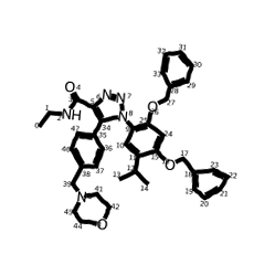 CCNC(=O)c1nnn(-c2cc(C(C)C)c(OCc3ccccc3)cc2OCc2ccccc2)c1-c1ccc(CN2CCOCC2)cc1